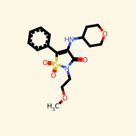 COCCN1C(=O)C(NC2CCOCC2)=C(c2ccccc2)S1(=O)=O